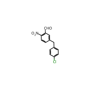 O=Cc1cc(Cc2ccc(Cl)cc2)ccc1[N+](=O)[O-]